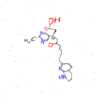 Cc1ncc([C@@H](CC(=O)O)CC(=O)CCCCc2ccc3c(n2)NCCC3)cn1